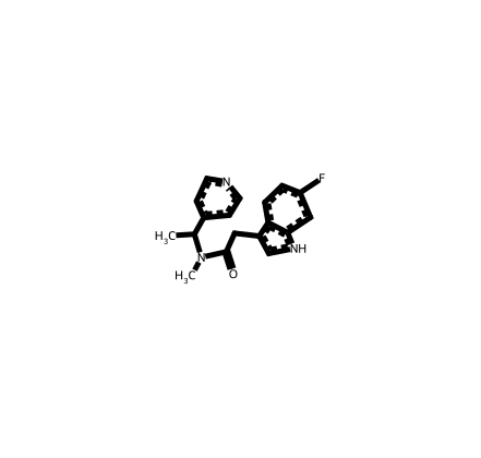 CC(c1ccncc1)N(C)C(=O)Cc1c[nH]c2cc(F)ccc12